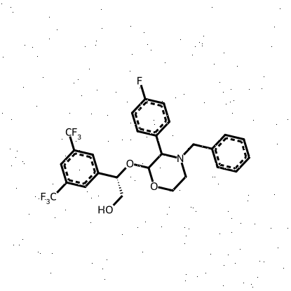 OC[C@@H](OC1OCCN(Cc2ccccc2)C1c1ccc(F)cc1)c1cc(C(F)(F)F)cc(C(F)(F)F)c1